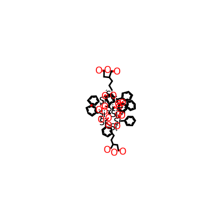 C[Si]1(CCCC2CC(=O)OC2=O)O[Si]2(c3ccccc3)OC34O[Si](c5ccccc5)(O2)O[Si]2(c5ccccc5)O[Si](C)(CCCC5CC(=O)OC5=O)O[Si]5(c6ccccc6)OC6(O[Si](c7ccccc7)(O5)O[Si](c5ccccc5)(O1)O[Si]63c1ccccc1)[Si]4(c1ccccc1)O2